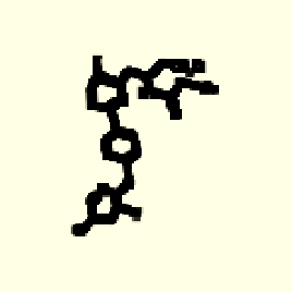 CCOC(=O)CC(Cc1nc(-c2ccc(Oc3ncc(Cl)cc3F)cc2)ccc1F)NC(=O)OC(C)(C)C